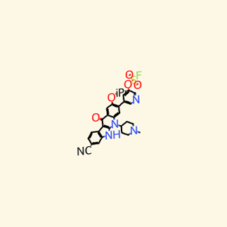 CC(C)Oc1cc2c(=O)c3c4ccc(C#N)cc4[nH]c3n(C3CCN(C)CC3)c2cc1-c1cncc(OS(=O)(=O)F)c1